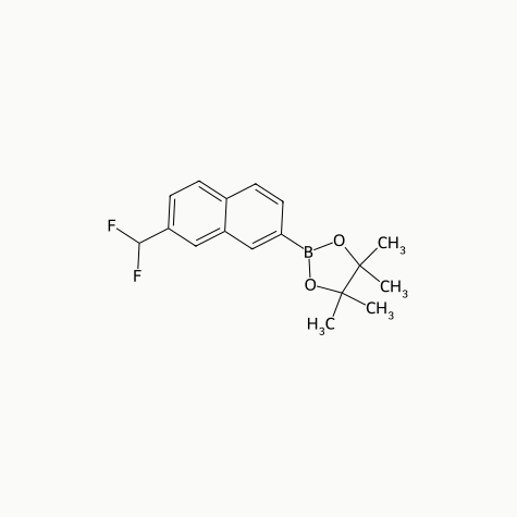 CC1(C)OB(c2ccc3ccc(C(F)F)cc3c2)OC1(C)C